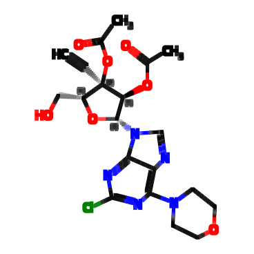 C#C[C@@]1(OC(C)=O)[C@@H](CO)O[C@@H](n2cnc3c(N4CCOCC4)nc(Cl)nc32)[C@@H]1OC(C)=O